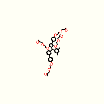 Cc1cc(C)c(OCCOCC2CO2)c(C(c2cc(-c3ccc(OCCOCC4CO4)cc3)ccc2OCCOCC2CO2)C2C=CC(c3ccc(OCCOCC4CO4)cc3)=C2)c1